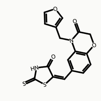 O=C1NC(=S)SC1=Cc1ccc2c(c1)N(Cc1ccoc1)C(=O)CO2